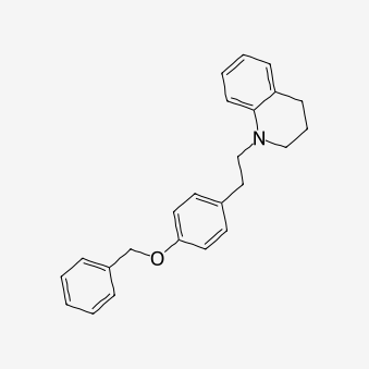 c1ccc(COc2ccc(CCN3CCCc4ccccc43)cc2)cc1